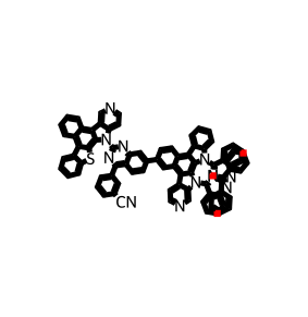 N#Cc1cccc(-c2nc(-n3c4ccncc4c4c5ccccc5c5c6ccccc6sc5c43)nc3cc(-c4ccc5c(c4)c4c6ccncc6n(-c6nc(-c7ccccc7)nc7ccccc67)c4c4c5c5ccccc5n4-c4nc(-c5ccccc5)nc5ccccc45)ccc23)c1